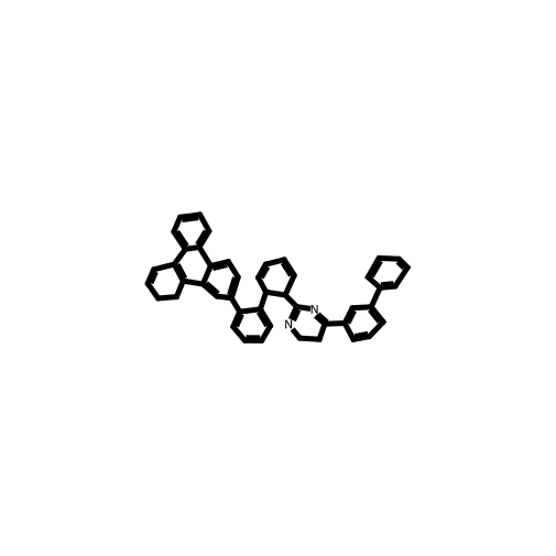 C1=CC(C2=NCCC(c3cccc(-c4ccccc4)c3)=N2)C(c2ccccc2-c2ccc3c(c2)c2c(c4ccccc43)C=CCC2)C=C1